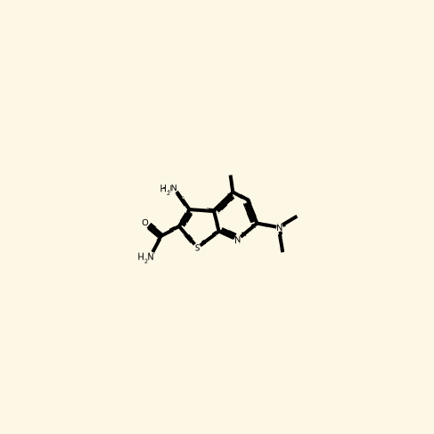 Cc1cc(N(C)C)nc2sc(C(N)=O)c(N)c12